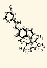 CC(C)[Si](C(C)C)(C(C)C)n1ccc2cc(CNc3cc(Cl)ncn3)c(F)cc21